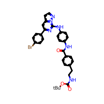 CC(C)(C)OC(=O)NCCc1ccc(C(=O)Nc2ccc(Nc3nc(-c4ccc(Br)cc4)cc4ccnn34)cc2)cc1